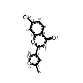 Cc1[c]c(-c2nc(=O)c3ccc(Cl)cc3o2)no1